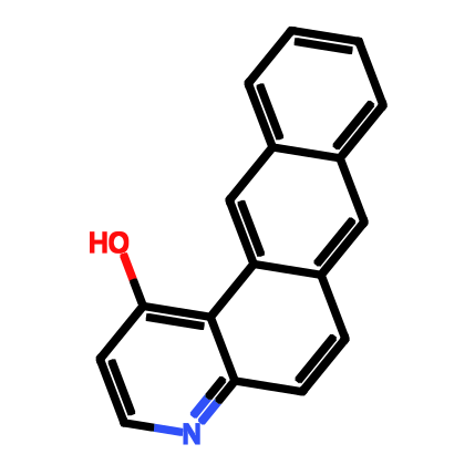 Oc1ccnc2ccc3cc4ccccc4cc3c12